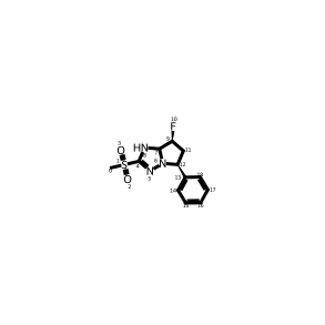 CS(=O)(=O)C1=NN2C(N1)[C@@H](F)C[C@H]2c1ccccc1